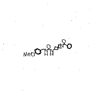 COc1ccc(CNC(=O)NC2CC3(C2)CN(C(=O)c2ccccc2)C3)cc1